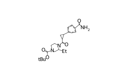 CCC1CN(C(=O)OC(C)(C)C)CCN1C(=O)C1CC1c1ccc(C(N)=O)cc1